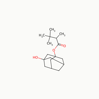 CC(C(=O)OC12CC3CC(CC(O)(C3)C1)C2)C(C)(C)C